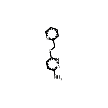 Nc1ccc(SCc2ccccn2)nn1